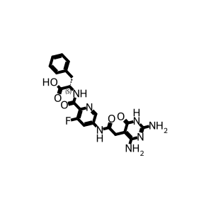 Nc1nc(N)c(CC(=O)Nc2cnc(C(=O)N[C@@H](Cc3ccccc3)C(=O)O)c(F)c2)c(=O)[nH]1